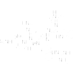 CCCC[C@H](NC(C)=O)C(=O)N[C@@H](C)C(=O)N[C@@H](Cc1c[nH]cn1)C(=O)N[C@H](Cc1ccccc1)C(=O)N[C@@H](CCCNC(=N)N)C(=O)N1CCC[C@@H]1C(=O)N[C@@H](Cc1c[nH]c2ccccc12)C(N)=O